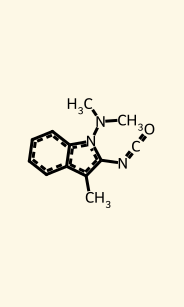 Cc1c(N=C=O)n(N(C)C)c2ccccc12